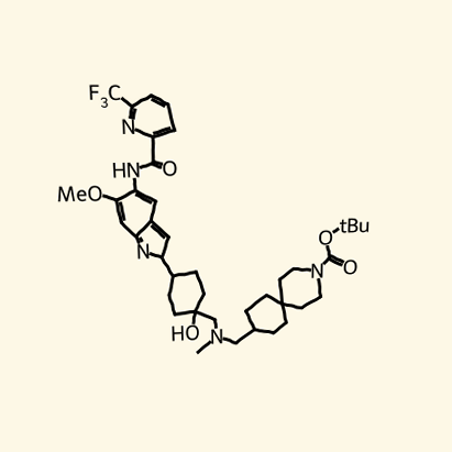 COc1cc2c(cc1NC(=O)c1cccc(C(F)(F)F)n1)=CC(C1CCC(O)(CN(C)CC3CCC4(CC3)CCN(C(=O)OC(C)(C)C)CC4)CC1)N=2